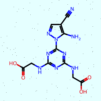 N#Cc1cnn(-c2nc(NCC(=O)O)nc(NCC(=O)O)n2)c1N